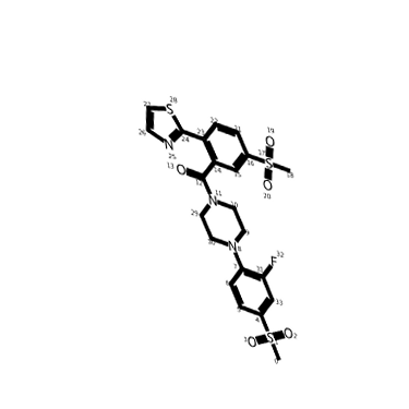 CS(=O)(=O)c1ccc(N2CCN(C(=O)c3cc(S(C)(=O)=O)ccc3-c3nccs3)CC2)c(F)c1